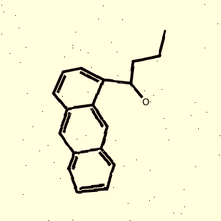 CCCC([O])c1cccc2cc3ccccc3cc12